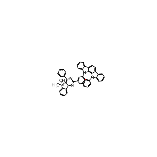 C[Si]1(C)c2ccccc2-c2nc(-c3cccc(-n4c5ccccc5c5ccc6c7ccccc7n(-c7ccccc7)c6c54)c3)nc(-c3ccccc3)c21